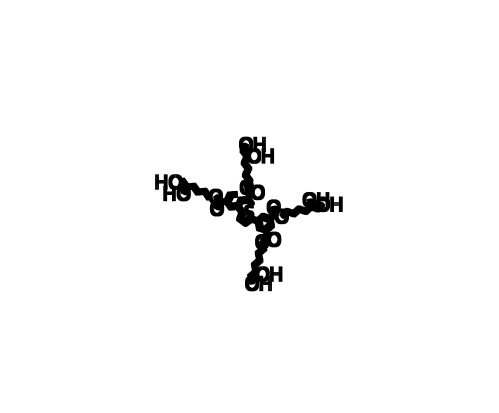 C\C=C(/C=C(\C=C(/C)C(=O)OCCCCC(O)CO)c1ccc(-c2cc(C(=O)OCCCCC(O)CO)cc(C(=O)OCCCCC(O)CO)c2)s1)C(=O)OCCCCC(O)CO